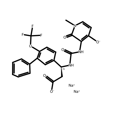 Cn1ccc([O-])c(NC(=O)N[C@@H](CC(=O)[O-])c2ccc(OC(F)(F)F)c(-c3ccccc3)c2)c1=O.[Na+].[Na+]